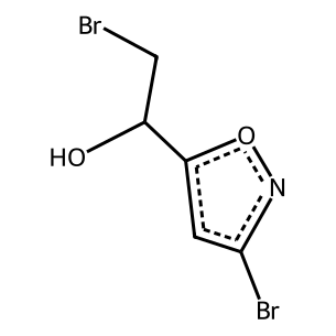 OC(CBr)c1cc(Br)no1